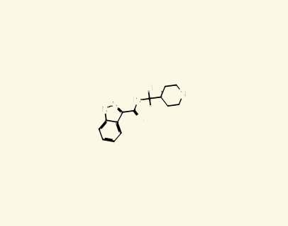 CC(C)(NC(=O)c1n[nH]c2ccccc12)C1CCNCC1